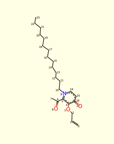 C=CCOc1c(C(C)=O)n(CCCCCCCCCCCCCC)ccc1=O